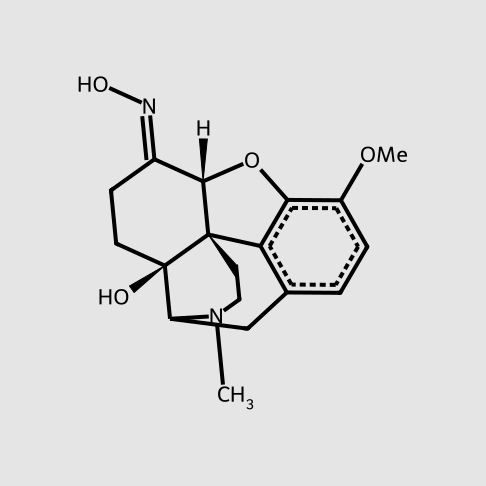 COc1ccc2c3c1O[C@H]1C(=NO)CC[C@@]4(O)C(C2)N(C)CC[C@]314